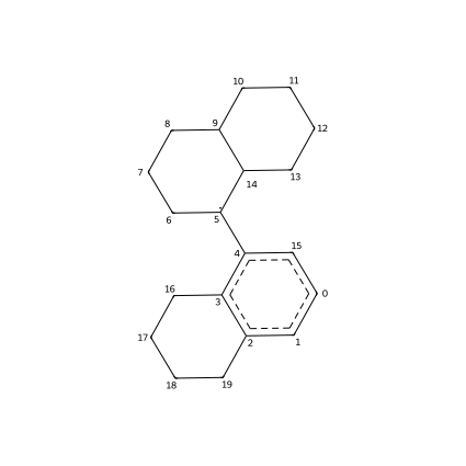 c1cc2c(c([C]3CCCC4CCCCC34)c1)CCCC2